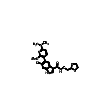 COc1nc(N(C)C)ccc1-c1cc2c(C(=O)NOCC3OCCO3)c[nH]c2cc1Cl